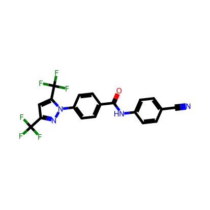 N#Cc1ccc(NC(=O)c2ccc(-n3nc(C(F)(F)F)cc3C(F)(F)F)cc2)cc1